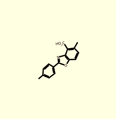 Cc1ccc(-c2nc3c(C(=O)O)c(C)ccc3o2)cc1